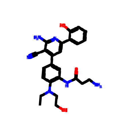 CCN(CCO)c1ccc(-c2cc(-c3ccccc3O)nc(N)c2C#N)cc1NC(=O)CCN